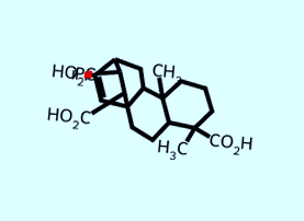 CC(C)C1=CC23CCC4C(C)(C(=O)O)CCCC4(C)C2CC1C(C(=O)O)C3C(=O)O